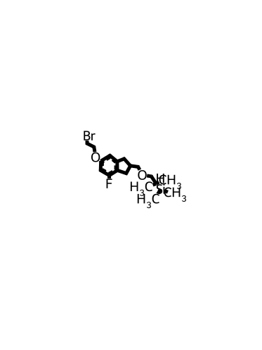 C[SiH](C)C(C)(C)COCC1Cc2cc(OCCBr)cc(F)c2C1